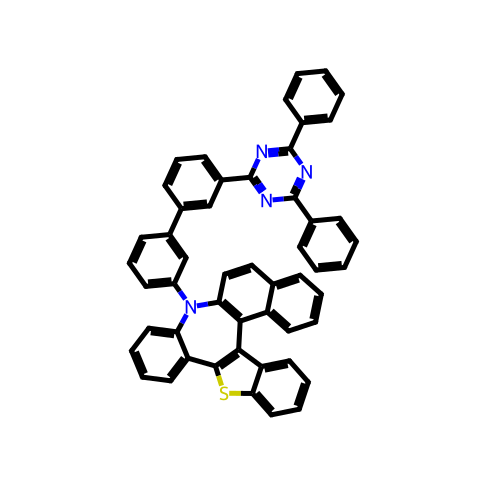 c1ccc(-c2nc(-c3ccccc3)nc(-c3cccc(-c4cccc(N5c6ccccc6-c6sc7ccccc7c6-c6c5ccc5ccccc65)c4)c3)n2)cc1